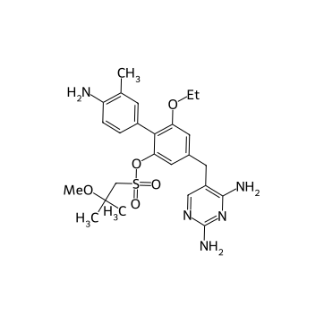 CCOc1cc(Cc2cnc(N)nc2N)cc(OS(=O)(=O)CC(C)(C)OC)c1-c1ccc(N)c(C)c1